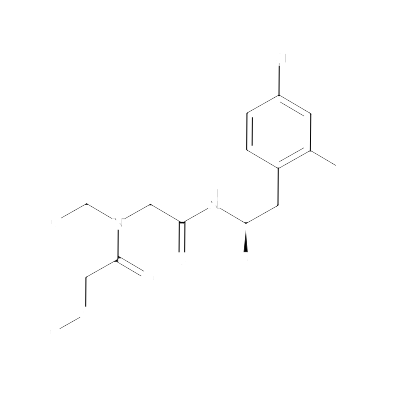 B[C@H](Cc1ccc(C)cc1C)NC(=O)CN(CC)C(=O)CSC